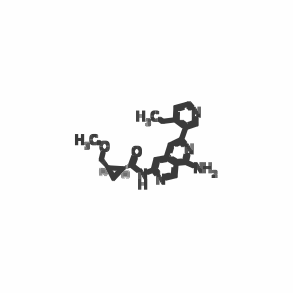 CCc1ccncc1-c1cc2cc(NC(=O)[C@@H]3C[C@H]3COC)ncc2c(N)n1